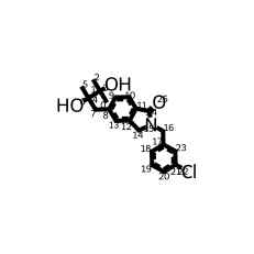 CC(C)(O)C(C)(O)Cc1ccc2c(c1)CN(Cc1cccc(Cl)c1)C2=O